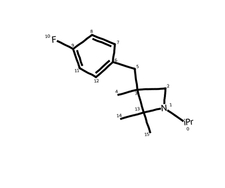 CC(C)N1CC(C)(Cc2ccc(F)cc2)C1(C)C